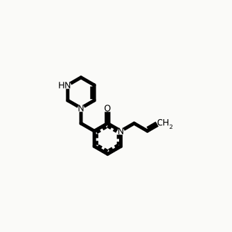 C=CCn1cccc(CN2C=CCNC2)c1=O